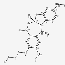 CCCCOc1cc2c(cc1OC)C(=O)N1c3ccc(NC)cc3C[C@H]1CN2C